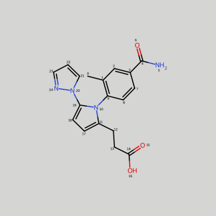 Cc1cc(C(N)=O)ccc1-n1c(CCC(=O)O)ccc1-n1cccn1